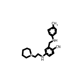 Cc1ccc(NCc2cc(NCCN3CCCCC3)ccc2C#N)cc1